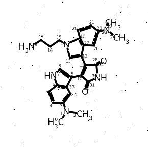 CN(C)c1ccc2[nH]cc(C3=C(c4cn(CCCN)c5ccc(N(C)C)cc45)C(=O)NC3=O)c2c1